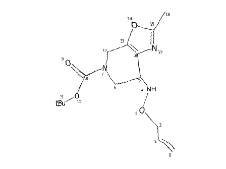 C=CCONC1CN(C(=O)OC(C)(C)C)Cc2oc(C)nc21